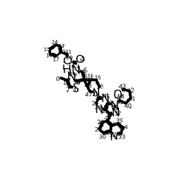 Cc1csc(C2(CNC(=O)OCc3ccccc3)C3CCN(c4cnc5c(-c6cccc7ncccc67)nn(C6CCCCO6)c5n4)CC32)n1